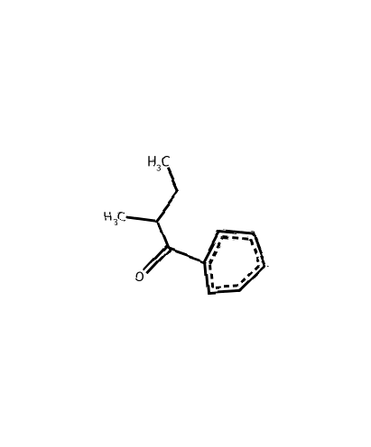 CCC(C)C(=O)c1cc[c]cc1